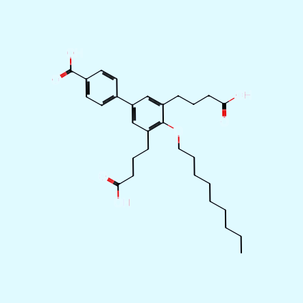 CCCCCCCCCOc1c(CCCC(=O)O)cc(-c2ccc(C(=O)O)cc2)cc1CCCC(=O)O